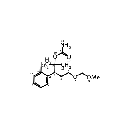 COCOCC[C@@H](c1ccccc1I)C(C)(C)OC(N)=O